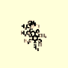 Cc1c(C)c2c(c(C)c1O)C(=O)CC(C)(COC(C)(C)C)O2